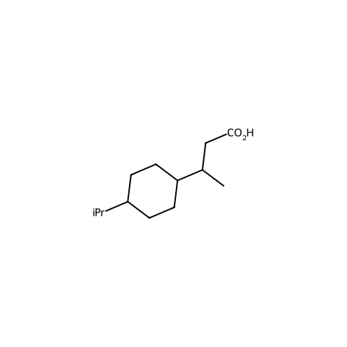 CC(C)C1CCC(C(C)CC(=O)O)CC1